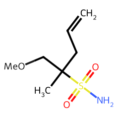 C=CCC(C)(COC)S(N)(=O)=O